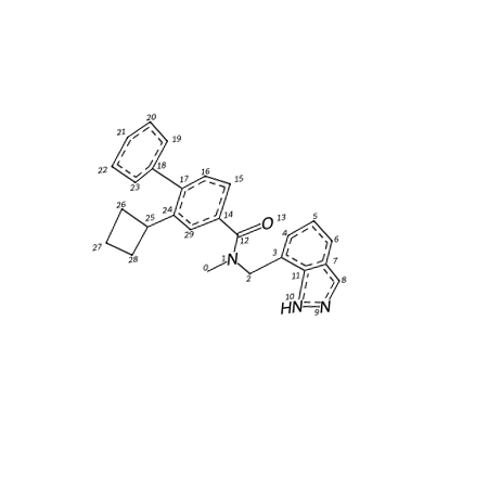 CN(Cc1cccc2cn[nH]c12)C(=O)c1ccc(-c2ccccc2)c(C2CCC2)c1